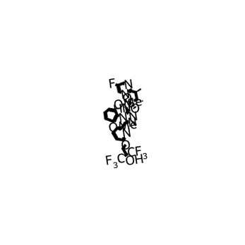 COc1cccc(OC)c1-n1c(NS(=O)(=O)[C@@H](C)[C@H](C)c2ncc(F)cn2)nnc1-c1cccc(OCC(O)(C(F)(F)F)C(F)(F)F)n1